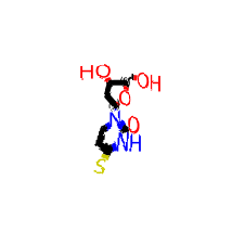 O=c1[nH]c(=S)ccn1[C@@H]1CC(O)[C@H](CO)O1